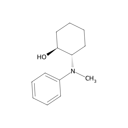 CN(c1ccccc1)[C@H]1CCCC[C@@H]1O